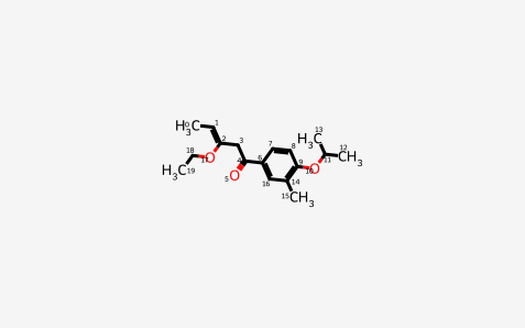 CC=C(CC(=O)c1ccc(OC(C)C)c(C)c1)OCC